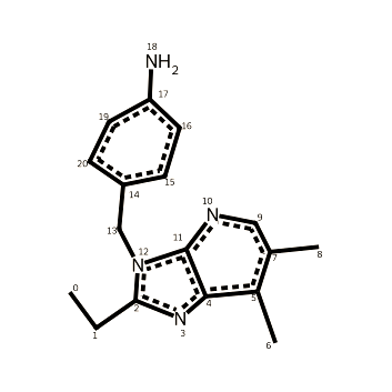 CCc1nc2c(C)c(C)cnc2n1Cc1ccc(N)cc1